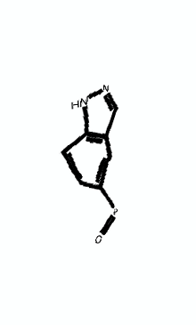 O=Pc1ccc2[nH]ncc2c1